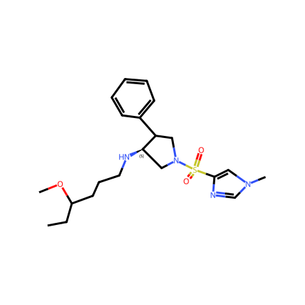 CCC(CCCN[C@@H]1CN(S(=O)(=O)c2cn(C)cn2)CC1c1ccccc1)OC